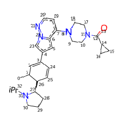 CC1C=C(c2cc3c(N4CCN(C(=O)C5CC5)CC4)ccnn3c2)C=CC1[C@H]1CCCN1C(C)C